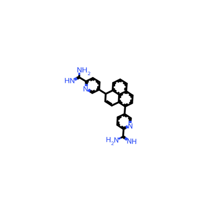 N=C(N)c1ccc(-c2ccc3cccc4c3c2C=CC4c2ccc(C(=N)N)nc2)cn1